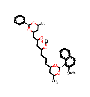 CCOC(CCCC1CC(C)O[C@@H](c2c(OC)ccc3ccccc23)O1)CC(O)CC1CC(CC)O[C@H](c2ccccc2)O1